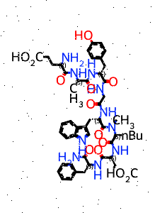 CCCC[C@@H](C(=O)N[C@@H](CC(=O)O)C(=O)N[C@@H](Cc1ccccc1)C(N)=O)N(C)C(=O)[C@H](Cc1c[nH]c2ccccc12)NC(=O)CNC(=O)[C@H](Cc1ccc(O)cc1)NC(=O)[C@H](C)NC(=O)[C@H](N)CCC(=O)O